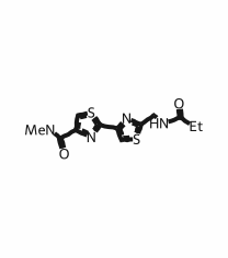 CCC(=O)NCc1nc(-c2nc(C(=O)NC)cs2)cs1